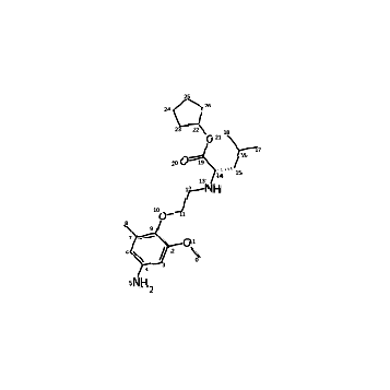 COc1cc(N)cc(C)c1OCCN[C@@H](CC(C)C)C(=O)OC1CCCC1